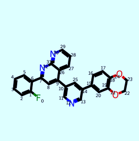 Fc1ccccc1-c1cc(-c2cncc(-c3ccc4c(c3)OCCO4)c2)c2cccnc2n1